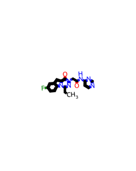 CCc1nn(CC(=O)Nc2ccncn2)c(=O)c2cc3cc(F)ccc3n12